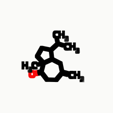 C=C1CCC(=O)C2(C)CCC(C(C)C)C2C1